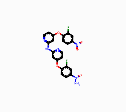 N[N+](=O)c1ccc(Oc2ccnc(Nc3cc(Oc4ccc([N+](=O)[O-])cc4F)ccn3)c2)c(F)c1